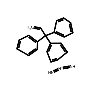 C=CC(c1ccccc1)(c1ccccc1)c1ccccc1.N=[N+]=N